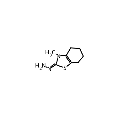 Cn1c2c(sc1=NN)CCCC2